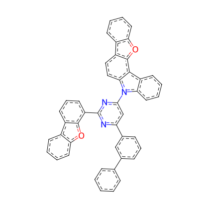 c1ccc(-c2cccc(-c3cc(-n4c5ccccc5c5c6oc7ccccc7c6ccc54)nc(-c4cccc5c4oc4ccccc45)n3)c2)cc1